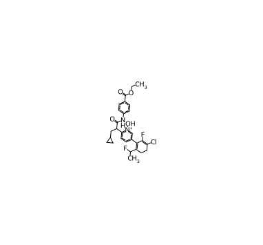 CCOC(=O)c1ccc(NC(=O)C(CC2CC2)c2ccc(C3=C(C(C)F)CCC(Cl)=C3F)c[n+]2O)cc1